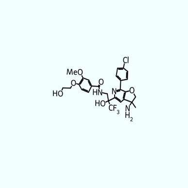 COc1cc(C(=O)NCC(O)(c2cc3c(c(-c4ccc(Cl)cc4)n2)OCC3(C)N)C(F)(F)F)ccc1OCCO